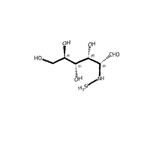 O=C[C@H](N[SiH3])[C@@H](O)[C@H](O)[C@H](O)CO